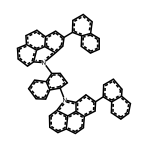 c1ccc2c(-c3cc4ccc5cccc6c5c4c(c3)n6-c3ccc(-n4c5cccc6ccc7cc(-c8cccc9ccccc89)cc4c7c65)c4ccccc34)cccc2c1